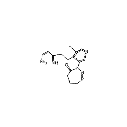 Cc1cncc(N2N=NCCCC2=O)c1CCC(=N)/C=C\N